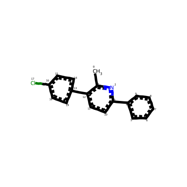 Cc1nc(-c2ccccc2)ccc1-c1ccc(Cl)cc1